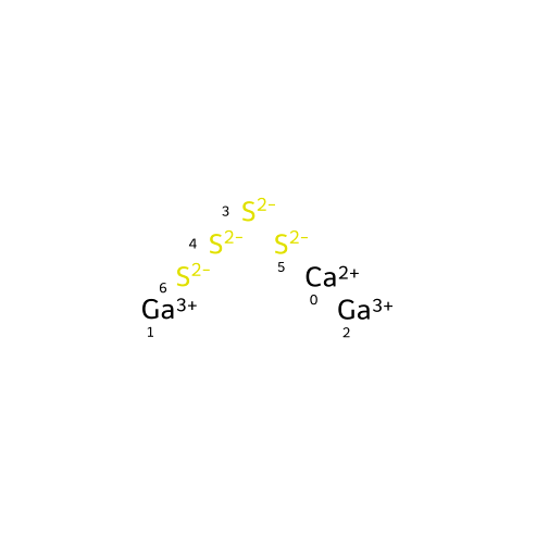 [Ca+2].[Ga+3].[Ga+3].[S-2].[S-2].[S-2].[S-2]